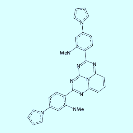 CNc1cc(-n2cccc2)ccc1C1=NC2=CC=CC3=NC(c4ccc(-n5cccc5)cc4NC)=NC(=N1)N23